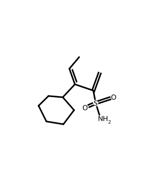 C=C(/C(=C\C)C1CCCCC1)S(N)(=O)=O